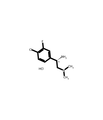 CN(C)C[C@@H](N)c1ccc(Cl)c(F)c1.Cl